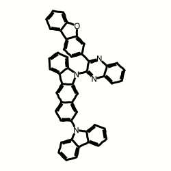 c1ccc2nc(-n3c4ccccc4c4cc5ccc(-n6c7ccccc7c7ccccc76)cc5cc43)c(-c3ccc4c(c3)oc3ccccc34)nc2c1